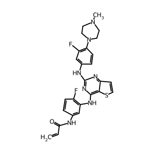 C=CC(=O)Nc1ccc(F)c(Nc2nc(Nc3ccc(N4CCN(C)CC4)c(F)c3)nc3ccsc23)c1